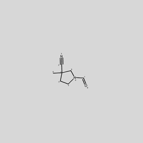 CC1(C#N)CCN(C=O)C1